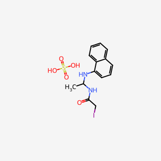 CC(NC(=O)CI)Nc1cccc2ccccc12.O=S(=O)(O)O